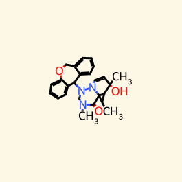 CC1C2C(C)(O)C=CN3N(C4c5ccccc5COc5ccccc54)CN(C)C(=O)C123